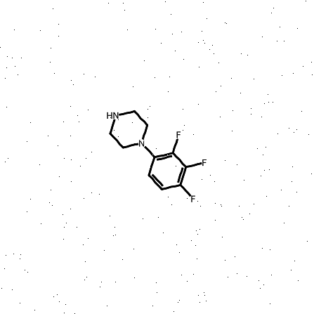 Fc1ccc(N2CCNCC2)c(F)c1F